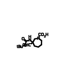 CC(C)(C)OC(=O)NC1(C=O)CCCCN(C(=O)O)C1